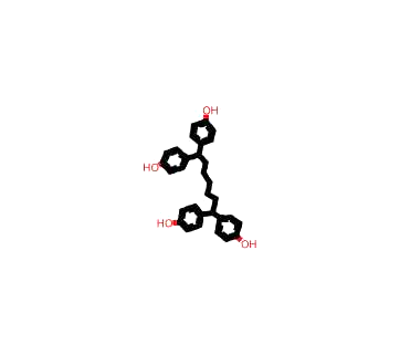 Oc1ccc(C(CCCCCC(c2ccc(O)cc2)c2ccc(O)cc2)c2ccc(O)cc2)cc1